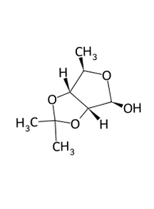 C[C@H]1O[C@@H](O)[C@@H]2OC(C)(C)O[C@@H]21